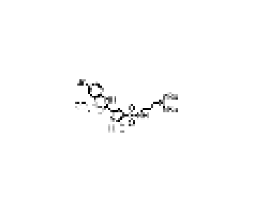 CCCCN(CCCC)CCCNS(=O)(=O)c1cc(C(=O)Nc2ccc(Br)cc2C(=O)O)sc1C